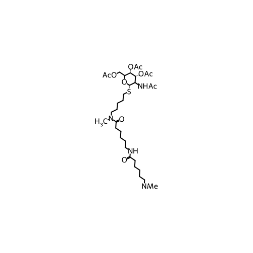 CNCCCCCC(=O)NCCCCCC(=O)N(C)CCCCCS[C@@H]1OC(COC(C)=O)[C@H](OC(C)=O)[C@H](OC(C)=O)C1NC(C)=O